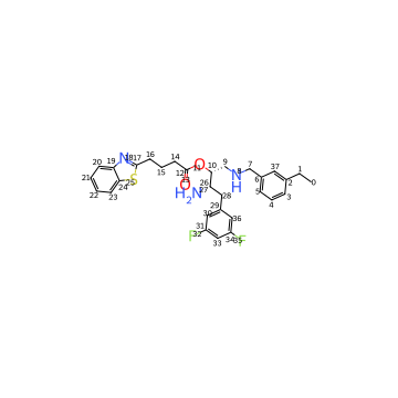 CCc1cccc(CNC[C@@H](OC(=O)CCCc2nc3ccccc3s2)[C@@H](N)Cc2cc(F)cc(F)c2)c1